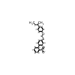 CCC(C)c1ccc(OCSc2ccc(-c3ccccc3[N+](=O)[O-])cc2)cc1